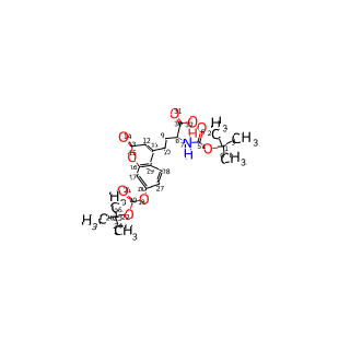 CC(C)(C)OC(=O)NC(CCc1cc(=O)oc2cc(OC(=O)OC(C)(C)C)ccc12)C(=O)O